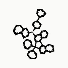 c1ccc(-c2ccc(N(c3ccc4ccccc4c3)c3cc4c(c5ccccc35)-c3c(ccc5ccccc35)C4(c3ccccc3)c3ccccc3)cc2)cc1